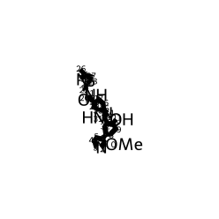 COc1ncccc1-c1ccc(O)c(-c2nc3ccc(C(=O)NCc4nc(C)cs4)cc3[nH]2)c1